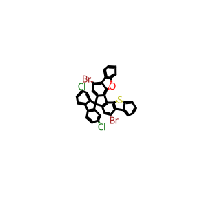 Clc1ccc2c(c1)C1(c3cc(Cl)ccc3-2)c2cc(Br)c3c(oc4ccccc43)c2-c2c1cc(Br)c1c2sc2ccccc21